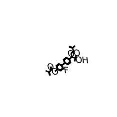 C=C(C)C(=O)Oc1ccc(-c2ccc(C(OC(=O)C(=C)C)C(C)(C)O)cc2)c(F)c1